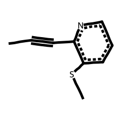 CC#Cc1ncccc1SC